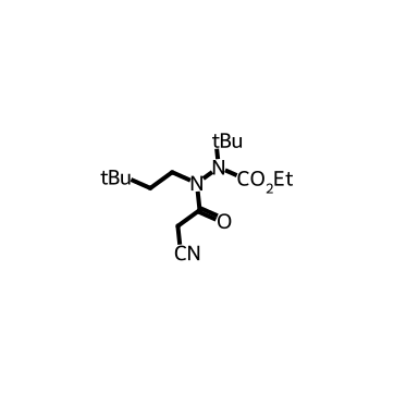 CCOC(=O)N(N(CCC(C)(C)C)C(=O)CC#N)C(C)(C)C